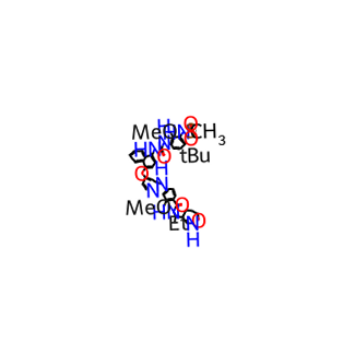 CCC(NC(=O)c1ccc(Nc2cc(Oc3ccc(NC(=O)Nc4cc(C(C)(C)C)cc(NS(C)(=O)=O)c4OC)c4ccccc34)ccn2)cc1OC)C1CCCONC1